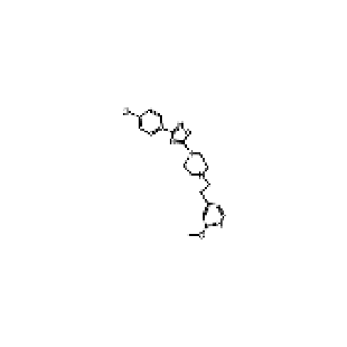 COc1cc(CCN2CCN(c3nc(-c4ccc(Cl)cc4)no3)CC2)ccn1